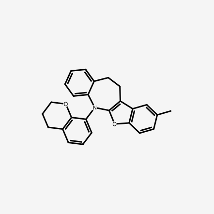 Cc1ccc2oc3c(c2c1)CCc1ccccc1N3c1cccc2c1OCCC2